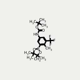 Cc1c(B2OC(C)(C)C(C)(C)O2)cc(NC(=O)OC(C)(C)C)cc1C(F)(F)F